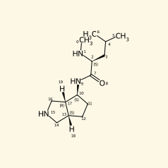 CN[C@@H](CC(C)C)C(=O)N[C@H]1CC[C@@H]2CNC[C@@H]21